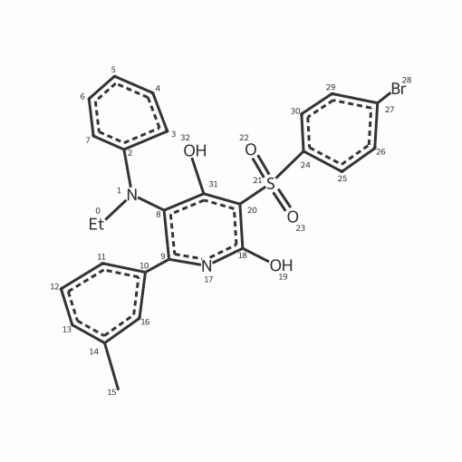 CCN(c1ccccc1)c1c(-c2cccc(C)c2)nc(O)c(S(=O)(=O)c2ccc(Br)cc2)c1O